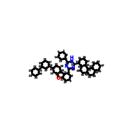 c1ccc(C2=NC(c3cccc4oc5cc(-c6cccc(-c7ccccc7)c6)ccc5c34)=NC(c3cccc4c3ccc3ccc5ccccc5c34)N2)cc1